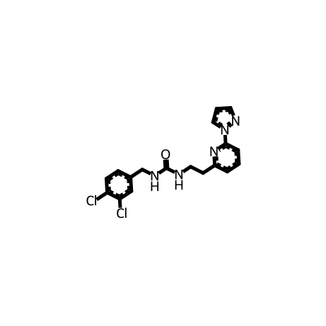 O=C(NCCc1cccc(-n2cccn2)n1)NCc1ccc(Cl)c(Cl)c1